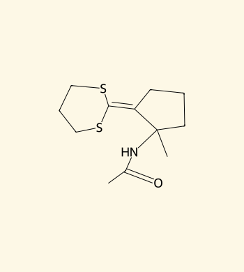 CC(=O)NC1(C)CCCC1=C1SCCCS1